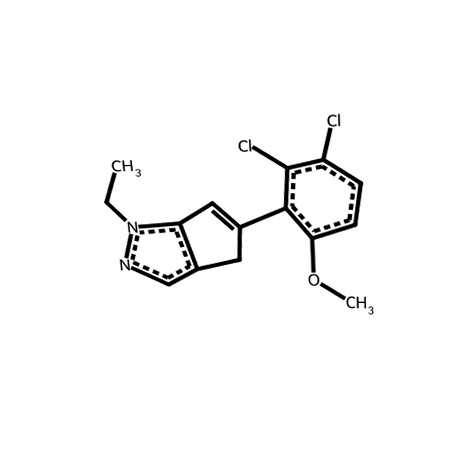 CCn1ncc2c1C=C(c1c(OC)ccc(Cl)c1Cl)C2